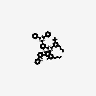 CCCCc1cc(I)cc(-c2nc(-c3cc(CCCC)cc(C(C)(C)C)c3)nc(-c3cc(-c4nc(-c5ccccc5)nc(-c5ccccc5)n4)ccc3-n3c4ccccc4c4c5oc6ccccc6c5ccc43)n2)c1